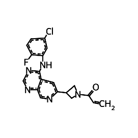 C=CC(=O)N1CC(c2cc3c(Nc4cc(Cl)ccc4F)ncnc3cn2)C1